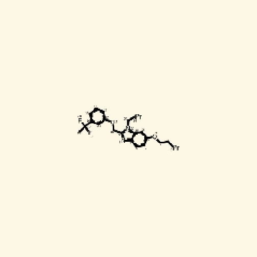 CC(C)CCOc1ccc2nc(COc3cccc(C(C)(F)F)c3)n(CC(C)C)c2c1